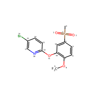 CS(=O)(=O)c1ccc(OC(F)(F)F)c(Oc2ccc(Br)cn2)c1